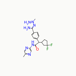 Cc1cnc(NC(=O)C(c2ccc(/C(N)=N/N(C)N)cc2)C2CCC(F)(F)C2)cn1